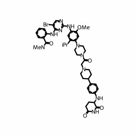 CNC(=O)c1ccccc1Nc1nc(Nc2cc(C(C)C)c(N3CCN(C(=O)CN4CCC(c5ccc(NC6CCC(=O)NC6=O)cc5)CC4)CC3)cc2OC)ncc1Br